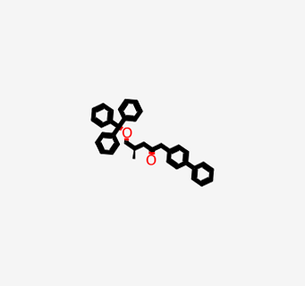 C[C@@H](COC(c1ccccc1)(c1ccccc1)c1ccccc1)CC(=O)Cc1ccc(-c2ccccc2)cc1